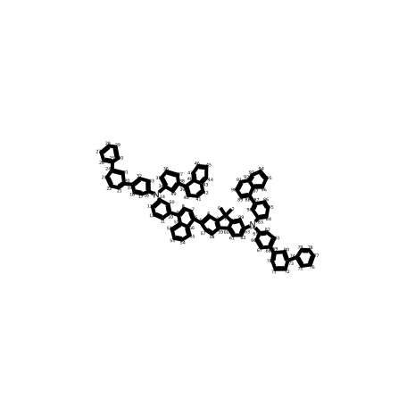 CC1(C)c2cc(-c3ccc(-c4cccc(N(c5ccc(-c6cccc(-c7ccccc7)c6)cc5)c5cccc(-c6cccc7ccccc67)c5)c4)c4ccccc34)ccc2-c2ccc(N(c3ccc(-c4cccc(-c5ccccc5)c4)cc3)c3cccc(-c4cccc5ccccc45)c3)cc21